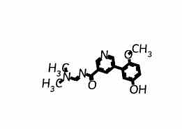 COc1ccc(O)cc1-c1cncc(C(=O)/N=C/N(C)C)c1